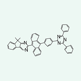 CC1(C)c2ccccc2-c2cnc(-c3c4ccccc4c(-c4ccc(-c5nc(-c6ccccc6)nc(-c6ccccc6)n5)cc4)c4ccccc34)nc21